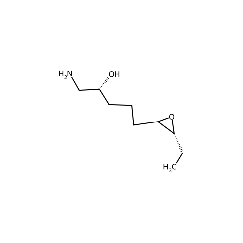 CC[C@H]1OC1CCC[C@@H](O)CN